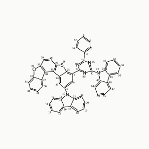 c1ccc(-c2nc(-c3cc(-n4c5ccccc5c5ccccc54)cc4c3sc3ccc5oc6ccccc6c5c34)nc(-n3c4ccccc4c4ccccc43)n2)cc1